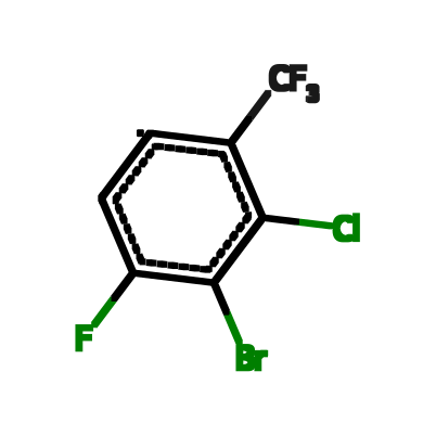 Fc1c[c]c(C(F)(F)F)c(Cl)c1Br